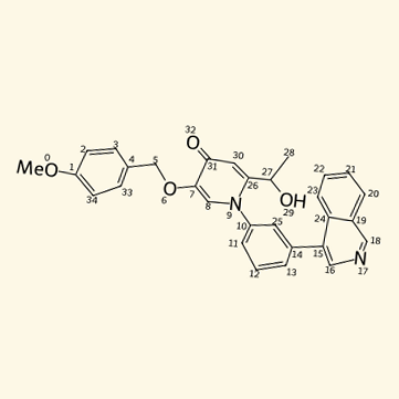 COc1ccc(COc2cn(-c3cccc(-c4cncc5ccccc45)c3)c(C(C)O)cc2=O)cc1